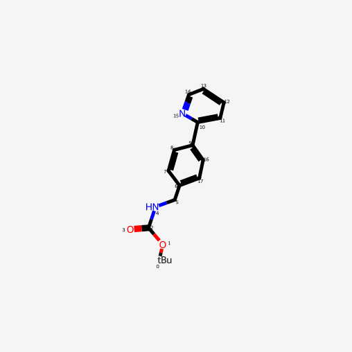 CC(C)(C)OC(=O)NCc1ccc(-c2ccccn2)cc1